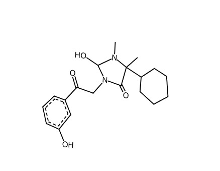 CN1C(O)N(CC(=O)c2cccc(O)c2)C(=O)C1(C)C1CCCCC1